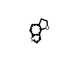 c1cc2c3c(ccc2s1)CCO3